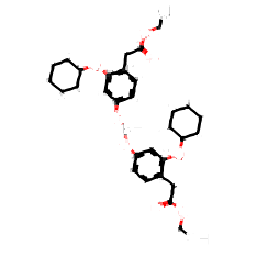 CCOC(=O)Cc1ccc(OBOc2ccc(CC(=O)OCC)c(OC3CCCCC3)c2)cc1OC1CCCCC1